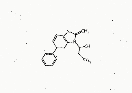 C=C1Sc2ccc(-c3ccccc3)cc2N1C(S)CC